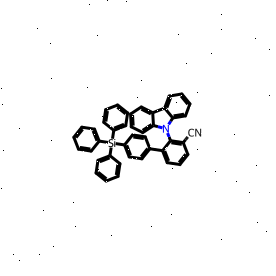 N#Cc1cccc(-c2ccc([Si](c3ccccc3)(c3ccccc3)c3ccccc3)cc2)c1-n1c2ccccc2c2ccccc21